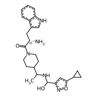 CC(NC(O)c1cc(C2CC2)on1)C1CCN(C(=O)[C@@H](N)Cc2c[nH]c3ccccc23)CC1